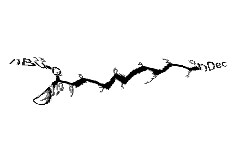 CCCCCCCCCCCCCC=CC=CC=CC(=O)OCCCC